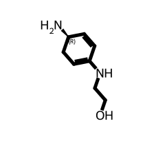 N[C@H]1C=CC(NCCO)=CC1